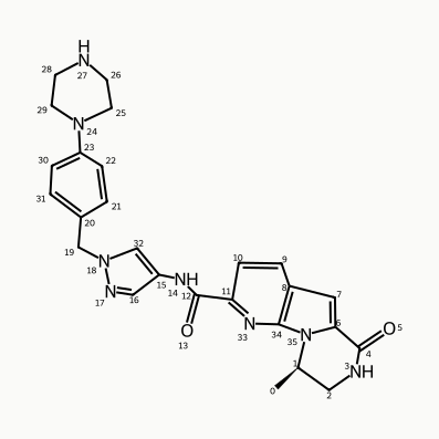 C[C@@H]1CNC(=O)c2cc3ccc(C(=O)Nc4cnn(Cc5ccc(N6CCNCC6)cc5)c4)nc3n21